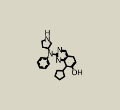 OC1=CCc2cnc(N(c3ccccc3)C3CCNC3)nc2C1C1CCCC1